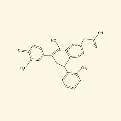 Cc1ccccc1C(CC(=NO)c1ccc(=O)n(C)c1)c1ccc(CC(=O)O)cc1